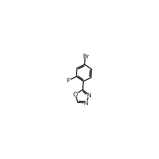 Fc1cc(Br)ccc1-c1nnco1